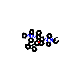 c1ccc(N2c3ccccc3N(c3cc4c5ccccc5c(N5c6ccccc6N(c6ccccc6)c6cc7c(cc65)[Si](c5ccccc5)(c5ccccc5)c5ccccc5-7)cc4c4ccccc34)c3ccccc32)cc1